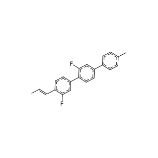 C/C=C/c1ccc(-c2ccc(-c3ccc(C)cc3)cc2F)cc1F